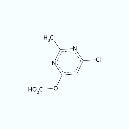 Cc1nc(Cl)cc(OC(=O)O)n1